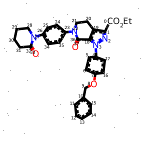 CCOC(=O)c1nn(-c2ccc(OCc3ccccc3)cc2)c2c1CCN(c1ccc(N3CCCCC3=O)cc1)C2=O